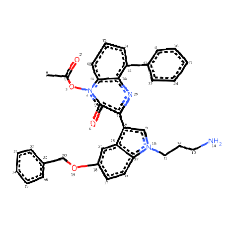 CC(=O)On1c(=O)c(-c2cn(CCCN)c3ccc(OCc4ccccc4)cc23)nc2c(-c3ccccc3)cccc21